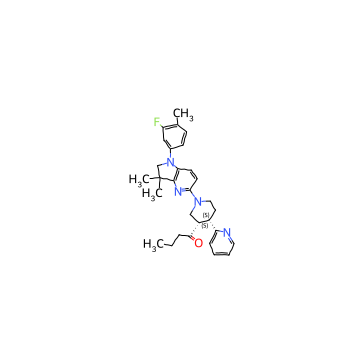 CCCC(=O)[C@@H]1CN(c2ccc3c(n2)C(C)(C)CN3c2ccc(C)c(F)c2)CC[C@@H]1c1ccccn1